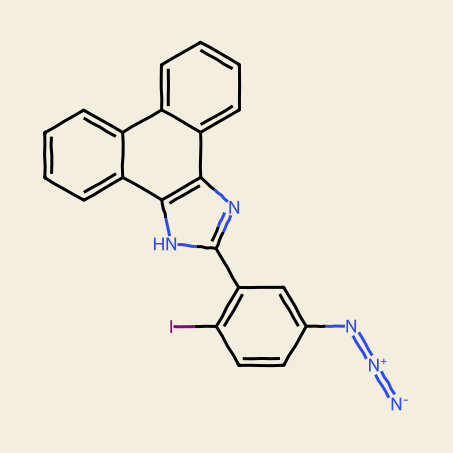 [N-]=[N+]=Nc1ccc(I)c(-c2nc3c4ccccc4c4ccccc4c3[nH]2)c1